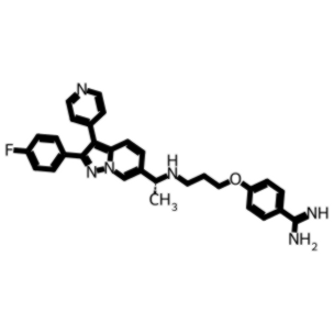 C[C@@H](NCCCOc1ccc(C(=N)N)cc1)c1ccc2c(-c3ccncc3)c(-c3ccc(F)cc3)nn2c1